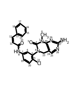 CN1C(=O)N(c2cc(NC(=O)/C=C\c3ccccc3)ccc2Cl)Cc2cnc(N)nc21